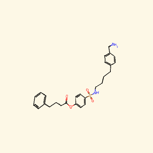 NCc1ccc(CCCCNS(=O)(=O)c2ccc(OC(=O)CCCc3ccccc3)cc2)cc1